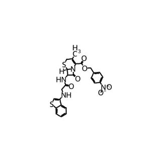 CC1=C(C(=O)OCc2ccc([N+](=O)[O-])cc2)N2C(=O)C(NC(=O)CNc3csc4ccccc34)[C@@H]2SC1